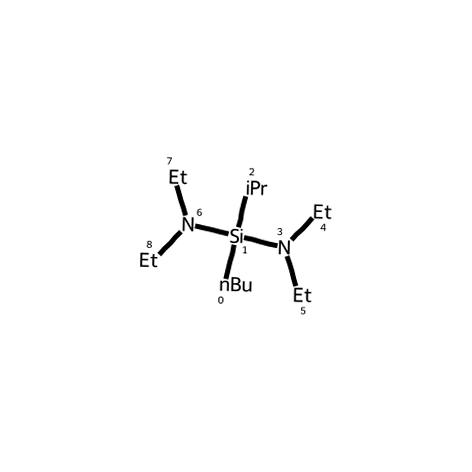 CCCC[Si](C(C)C)(N(CC)CC)N(CC)CC